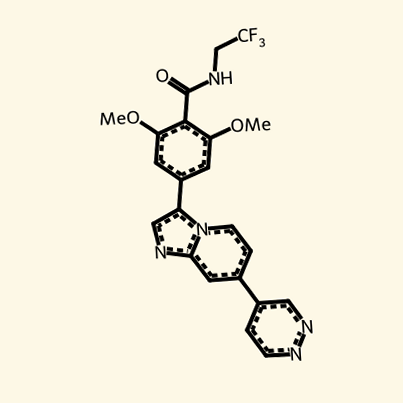 COc1cc(-c2cnc3cc(-c4ccnnc4)ccn23)cc(OC)c1C(=O)NCC(F)(F)F